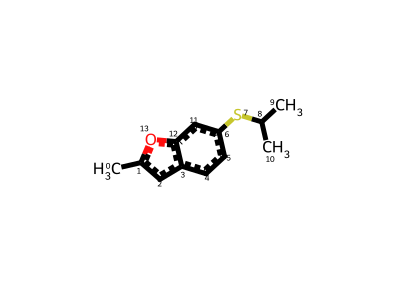 Cc1cc2ccc(SC(C)C)cc2o1